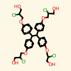 OCC(Cl)COc1ccc(C(c2ccc(OCC(Cl)CO)cc2)C(c2ccc(OCC(Cl)CO)cc2)c2ccc(OCC(Cl)CO)cc2)cc1